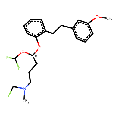 FCN(CCC[C@H](Oc1ccccc1CCc1cccc(OC(F)(F)F)c1)OC(F)F)C(F)(F)F